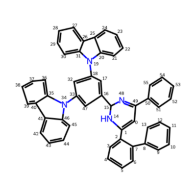 C1=C(c2ccccc2-c2ccccc2)NC(c2cc(-n3c4ccccc4c4ccccc43)cc(-n3c4ccccc4c4ccccc43)c2)N=C1c1ccccc1